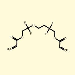 C=CC(=O)OCC(F)(F)CCOC(F)(F)COC(=O)C=C